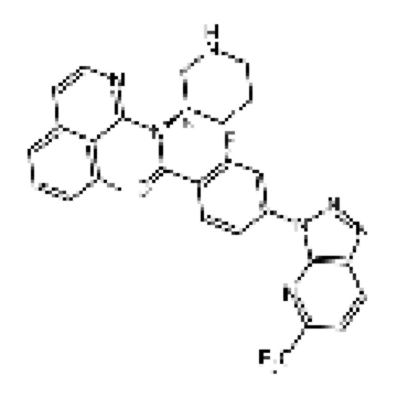 Cc1cccc2ccnc(N(C(=O)c3ccc(-n4nnc5ccc(C(F)(F)F)nc54)cc3F)[C@@H]3CCCNC3)c12